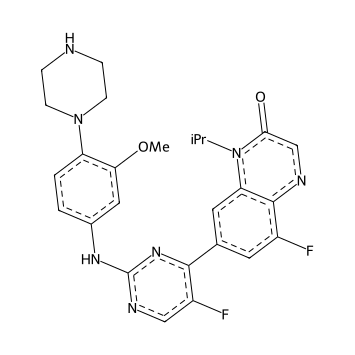 COc1cc(Nc2ncc(F)c(-c3cc(F)c4ncc(=O)n(C(C)C)c4c3)n2)ccc1N1CCNCC1